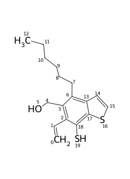 C=Cc1c(CO)c(CCCCCC)c2ccsc2c1S